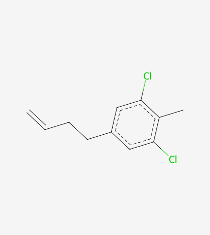 C=CCCc1cc(Cl)c(C)c(Cl)c1